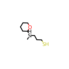 C[SiH](CCCS)C1CCCCO1